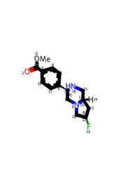 COC(=O)c1ccc([C@@H]2CN3C[C@H](F)C[C@H]3CN2)cc1